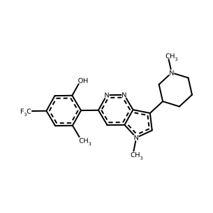 Cc1cc(C(F)(F)F)cc(O)c1-c1cc2c(nn1)c(C1CCCN(C)C1)cn2C